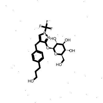 OCCCc1ccc(Cc2cn(C(F)(F)F)nc2O[C@@H]2O[C@H](CO)[C@@H](O)[C@H](O)[C@H]2O)cc1